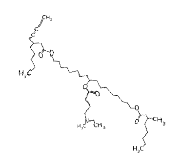 C=C=C=C=CC(CCCCC)CC(=O)OCCCCCCCCC(CCCCCCCCOC(=O)CC(C)CCCCC)OC(=O)CCCN(C)CC